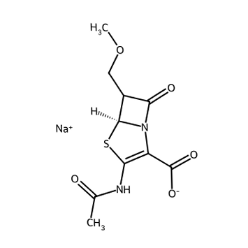 COCC1C(=O)N2C(C(=O)[O-])=C(NC(C)=O)S[C@@H]12.[Na+]